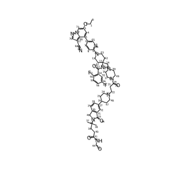 CCOc1cc(-c2ccc(N3CCC(CN4CCN(C(=O)CCN5CCC(c6ccc7c(c6)C(=O)N(C(C)(C)CCC(=O)NC=O)C7)CC5)CC4)(NC(=O)c4cc(F)ccc4F)CC3)nc2)c2c(C#N)cnn2c1